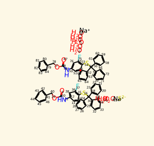 O.O.O.O.O.O.O.O.O.O=C(Nc1ccc(SC(c2ccccc2)(c2ccccc2)c2ccccc2)c(F)c1)OCc1ccccc1.O=C(Nc1ccc(SC(c2ccccc2)(c2ccccc2)c2ccccc2)c(F)c1)OCc1ccccc1.[Na+].[Na+].[S-2]